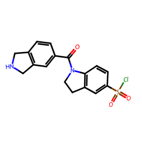 O=C(c1ccc2c(c1)CNC2)N1CCc2cc(S(=O)(=O)Cl)ccc21